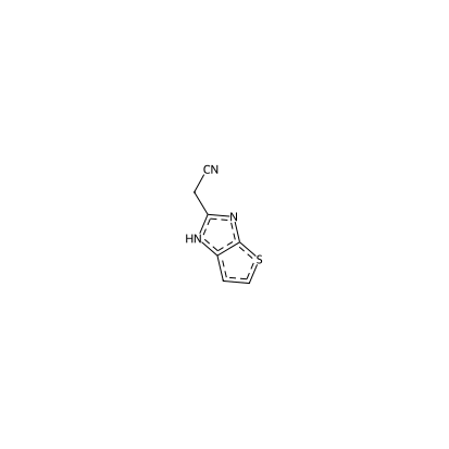 N#CCc1nc2sccc2[nH]1